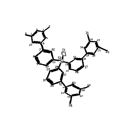 Cc1cc(C)cc(-c2cccc([Si](Cl)(c3cccc(-c4cc(C)cc(C)c4)c3)c3cccc(-c4cc(C)cc(C)c4)c3)c2)c1